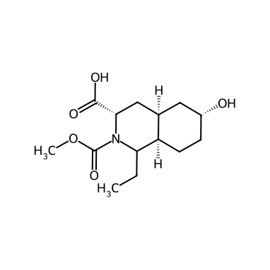 CCC1[C@@H]2CC[C@@H](O)C[C@@H]2C[C@@H](C(=O)O)N1C(=O)OC